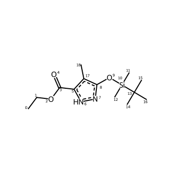 CCOC(=O)c1[nH]nc(O[Si](C)(C)C(C)(C)C)c1C